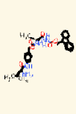 CCC[C@@H](NC(=O)OCc1ccc(NC(=O)[C@@H](N)CC(C)C)cc1)C(=O)NNC(=O)OCC1c2ccccc2-c2ccccc21